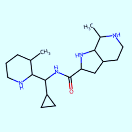 CC1CCCNC1C(NC(=O)C1CC2CCNC(C)C2N1)C1CC1